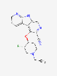 CCN1CC[C@H](Oc2c(C#N)ncc3[nH]c4ncccc4c23)[C@@H](F)C1